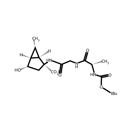 CCOC(=O)[C@]1(NC(=O)CNC(=O)[C@H](C)NC(=O)OC(C)(C)C)C[C@H](O)[C@H]2[C@H](C)[C@H]21